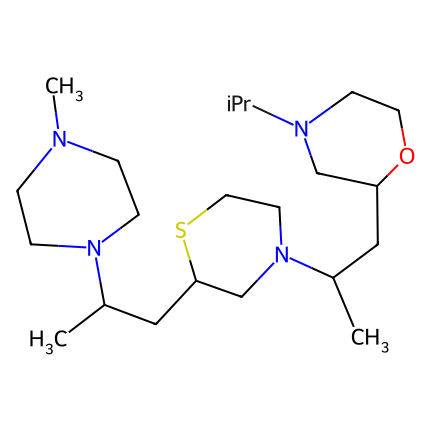 CC(C)N1CCOC(CC(C)N2CCSC(CC(C)N3CCN(C)CC3)C2)C1